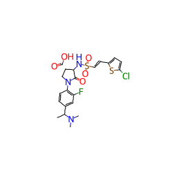 CC(c1ccc(N2CCC(NS(=O)(=O)/C=C/c3ccc(Cl)s3)C2=O)c(F)c1)N(C)C.O=CO